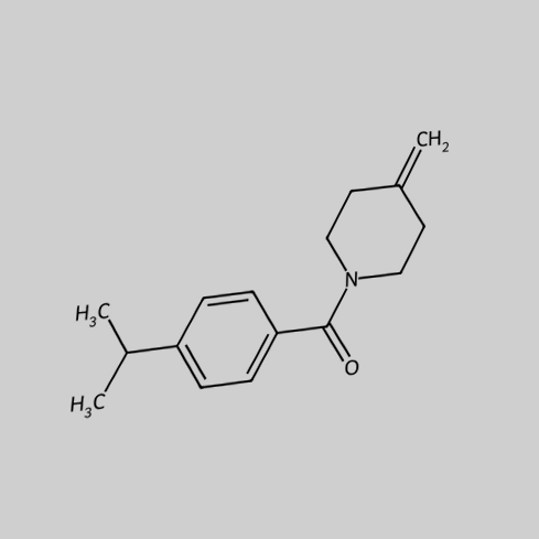 C=C1CCN(C(=O)c2ccc(C(C)C)cc2)CC1